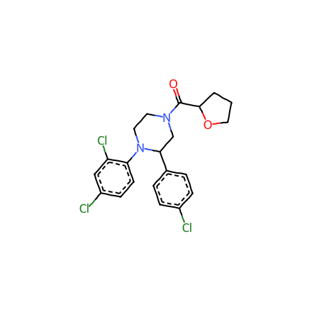 O=C(C1CCCO1)N1CCN(c2ccc(Cl)cc2Cl)C(c2ccc(Cl)cc2)C1